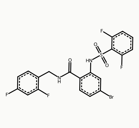 O=C(NCc1ccc(F)cc1F)c1ccc(Br)cc1NS(=O)(=O)c1c(F)cccc1F